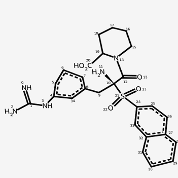 N=C(N)Nc1cccc(C[C@](N)(C(=O)N2CCCCC2C(=O)O)S(=O)(=O)c2ccc3ccccc3c2)c1